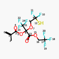 C=C(C)C(=O)OC(OCC(F)(F)S)(C(=O)OCC(F)(F)F)C(F)(F)F